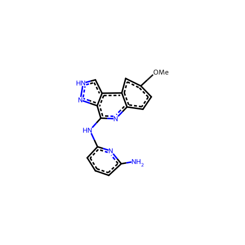 COc1ccc2nc(Nc3cccc(N)n3)c3n[nH]cc3c2c1